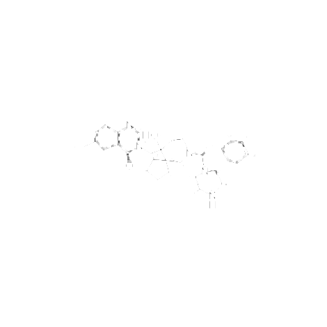 O=C(N1CCC(O)(Cn2cnc3ccc(F)cc3c2=O)C2(CCCC2)C1)N1CCNC[C@H]1c1ccccc1